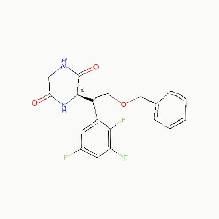 O=C1CNC(=O)[C@@H](C(COCc2ccccc2)c2cc(F)cc(F)c2F)N1